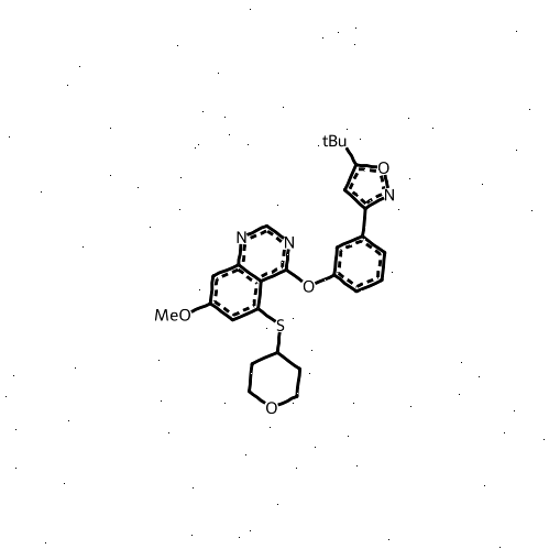 COc1cc(SC2CCOCC2)c2c(Oc3cccc(-c4cc(C(C)(C)C)on4)c3)ncnc2c1